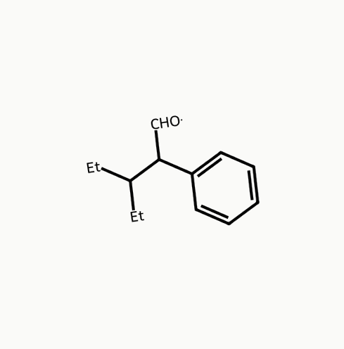 CCC(CC)C([C]=O)c1ccccc1